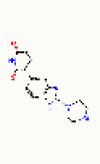 O=C1CCC(c2ccc3[nH]c(N4CCNCC4)nc3c2)C(=O)N1